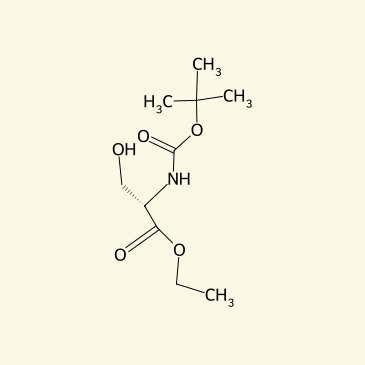 CCOC(=O)[C@H](CO)NC(=O)OC(C)(C)C